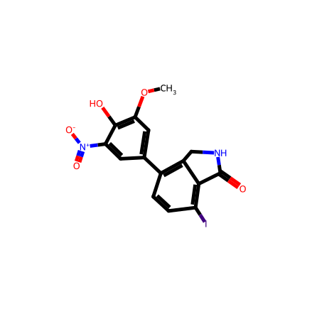 COc1cc(-c2ccc(I)c3c2CNC3=O)cc([N+](=O)[O-])c1O